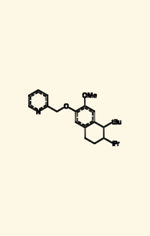 COc1cc2c(cc1OCc1ccccn1)CCC(C(C)C)C2C(C)(C)C